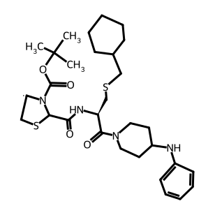 CC(C)(C)OC(=O)N1[CH]CSC1C(=O)N[C@@H](CSCC1CCCCC1)C(=O)N1CCC(Nc2ccccc2)CC1